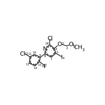 COCOc1c(I)cc(-c2cc(Cl)ccc2F)nc1Cl